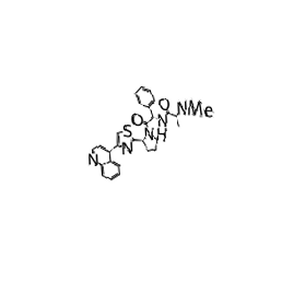 CN[C@@H](C)C(=O)N[C@H](C(=O)N1CCC[C@H]1c1nc(-c2ccnc3ccccc23)cs1)c1ccccc1